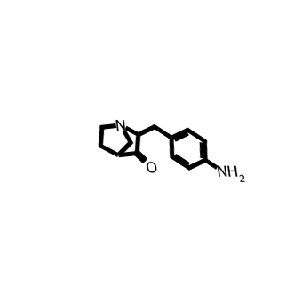 Nc1ccc(CC2C(=O)C3CCN2C3)cc1